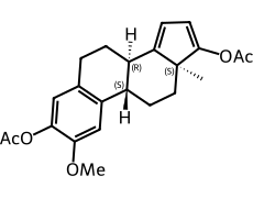 COc1cc2c(cc1OC(C)=O)CC[C@H]1C3=CC=C(OC(C)=O)[C@@]3(C)CC[C@H]21